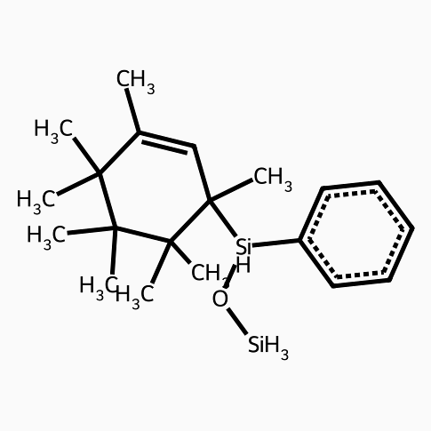 CC1=CC(C)([SiH](O[SiH3])c2ccccc2)C(C)(C)C(C)(C)C1(C)C